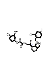 COc1cc(SNC(=O)NC/C(F)=C2\CCCc3cnn(Cc4ccc(Cl)cc4Cl)c32)ccc1Cl